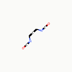 O=C=NC=C=CN=C=O